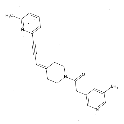 Bc1cncc(CC(=O)N2CCC(=CC#Cc3cccc(C)n3)CC2)c1